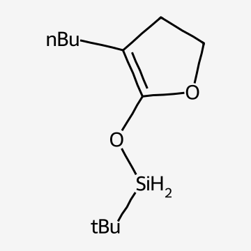 CCCCC1=C(O[SiH2]C(C)(C)C)OCC1